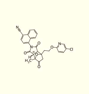 CC12OC(CCOc3ccc(Cl)cn3)(CC1=O)C1C(=O)N(c3ccc(C#N)c4ccccc34)C(=O)[C@H]12